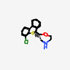 Clc1cccc2c1S[C@@H]([C@H]1CNCCO1)c1ccccc1-2